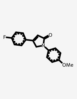 COc1ccc(N2CC(c3ccc(F)cc3)=CC2=O)cc1